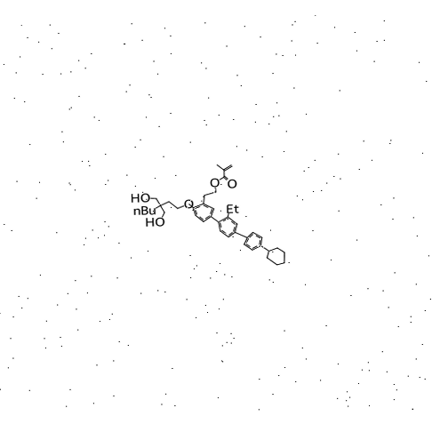 C=C(C)C(=O)OCCc1cc(-c2ccc(-c3ccc(C4CCCCC4)cc3)cc2CC)ccc1OCCC(CO)(CO)CCCC